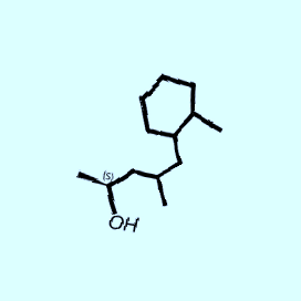 CC(CC1CCCCC1C)C[C@H](C)O